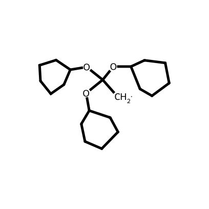 [CH2]C(OC1CCCCC1)(OC1CCCCC1)OC1CCCCC1